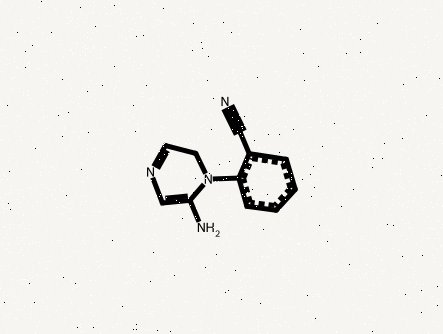 N#Cc1ccccc1N1CC=NC=C1N